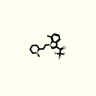 Cc1cccc2c(C(=O)C(F)(F)F)cn(CCC3CCCCN3C)c12